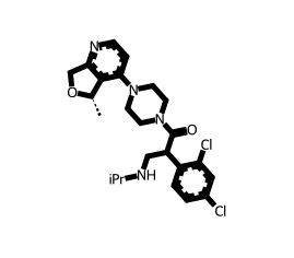 CC(C)NCC(C(=O)N1CCN(c2ccnc3c2[C@H](C)OC3)CC1)c1ccc(Cl)cc1Cl